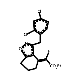 CCOC(=O)C(F)=C1CCCc2onc(Cc3ccc(Cl)cc3Cl)c21